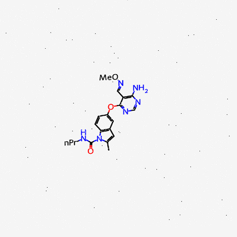 CCCNC(=O)n1c(C)cc2cc(Oc3ncnc(N)c3/C=N/OC)ccc21